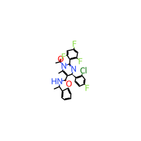 CC(=O)N1C(c2c(F)cc(F)cc2F)=N[C@@H](c2ccc(F)cc2Cl)C(C(=O)NC(C)c2ccccc2)=C1C